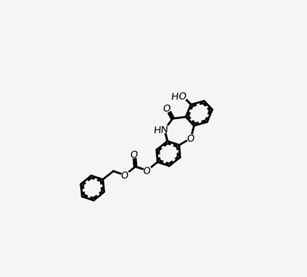 O=C(OCc1ccccc1)Oc1ccc2c(c1)NC(=O)c1c(O)cccc1O2